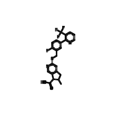 CC1Cc2cc(SCc3cc(-c4ncccc4C(F)(F)F)ccc3F)ncc2C1C(=O)O